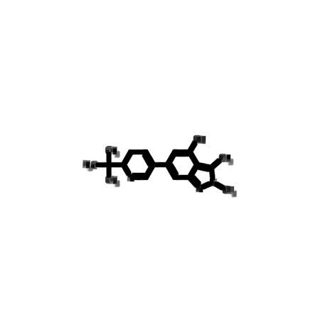 Cc1c2c(O)cc(C3=CCC(C(C)(C)C)N=C3)cc2nn1C